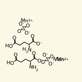 N[C@@H](CCC(=O)O)C(=O)[O-].N[C@@H](CCC(=O)O)C(=O)[O-].O=S(=O)([O-])[O-].O=S(=O)([O-])[O-].[Mn+2].[Mn+2].[Mn+2]